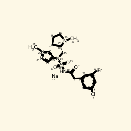 CC(C)c1cc(Cl)cc(CC(=O)NS(=O)(=O)N(C[C@@H]2CCCN2C)c2cnn(C)c2)c1.[Na]